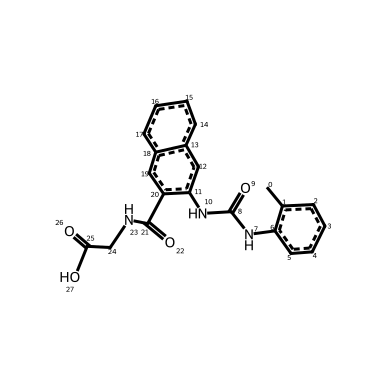 Cc1ccccc1NC(=O)Nc1cc2ccccc2cc1C(=O)NCC(=O)O